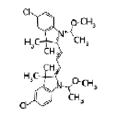 COC(C)N1/C(=C/C=C/C2=[N+](C(C)OC)c3ccc(Cl)cc3C2(C)C)C(C)(C)c2cc(Cl)ccc21